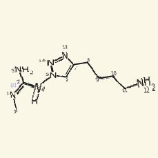 C/N=C(/N)Nn1cc(CCCCN)nn1